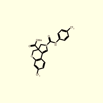 COC(=O)C12COc3cc(C(F)(F)F)ccc3C1=CN(C(=O)Nc1ccc(C(F)(F)F)cc1)C2